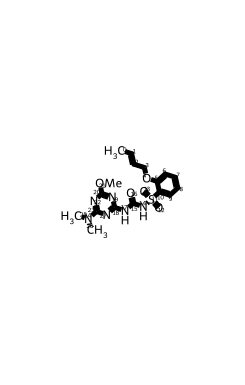 CC=CCOc1ccccc1S(=O)(=O)NC(=O)Nc1nc(OC)nc(N(C)C)n1